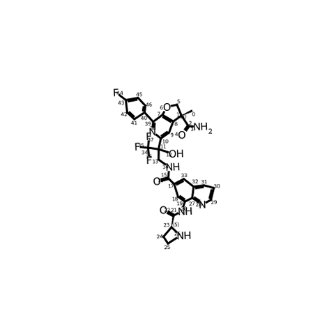 C[C@]1(C(N)=O)COc2c1cc(C(O)(CNC(=O)c1cc(NC(=O)[C@@H]3CCN3)c3ncccc3c1)C(F)(F)F)nc2-c1ccc(F)cc1